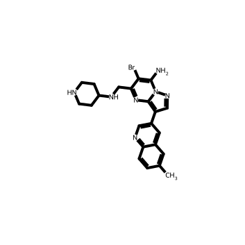 Cc1ccc2ncc(-c3cnn4c(N)c(Br)c(CNC5CCNCC5)nc34)cc2c1